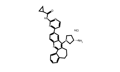 Cl.N[C@H]1CCN(c2c3c(nc4ccc(-c5ccnc(NC(=O)C6CC6)n5)cc24)-c2ccccc2CCC3)C1